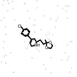 CC1(CCC2CC(c3ccc(Cl)cc3)=CCN2)OCCO1